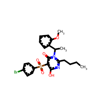 CCCCc1nc(O)c(S(=O)(=O)c2ccc(Br)cc2)c(=O)n1C(C)c1ccccc1OC